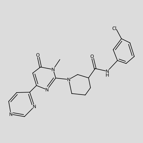 Cn1c(N2CCCC(C(=O)Nc3cccc(Cl)c3)C2)nc(-c2ccncn2)cc1=O